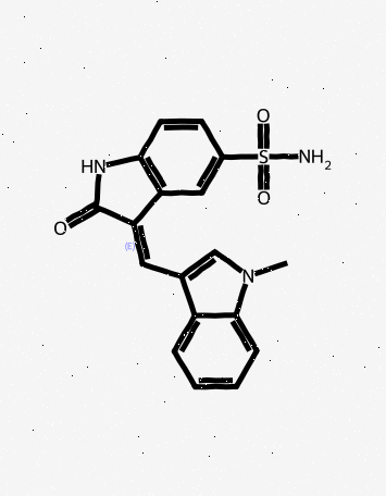 Cn1cc(/C=C2/C(=O)Nc3ccc(S(N)(=O)=O)cc32)c2ccccc21